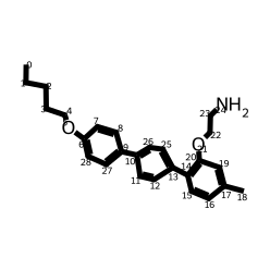 CCCCCOc1ccc(-c2ccc(-c3ccc(C)cc3OCCN)cc2)cc1